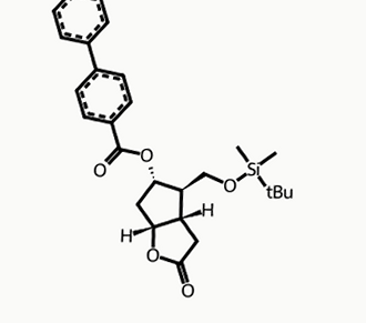 CC(C)(C)[Si](C)(C)OC[C@H]1[C@@H]2CC(=O)O[C@@H]2C[C@@H]1OC(=O)c1ccc(-c2ccccc2)cc1